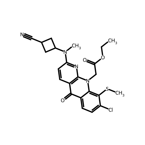 CCOC(=O)Cn1c2nc(N(C)C3CC(C#N)C3)ccc2c(=O)c2ccc(Cl)c(SC)c21